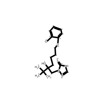 CC(C)(C)C(O)(CCCCOc1ccccc1Cl)Cn1nc[nH]c1=S